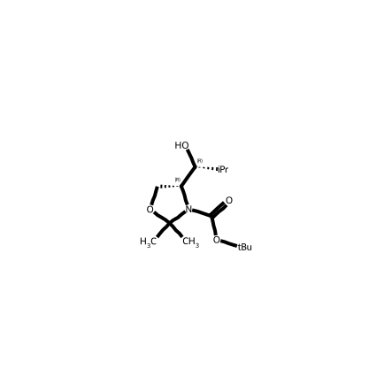 CC(C)[C@@H](O)[C@H]1COC(C)(C)N1C(=O)OC(C)(C)C